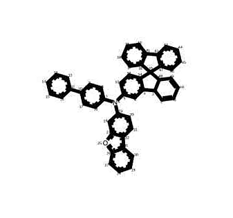 C1=CC2c3cc(N(c4ccc(-c5ccccc5)cc4)c4ccc5c(c4)oc4ccccc45)ccc3C3(c4ccccc4-c4ccccc43)C2C=C1